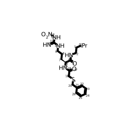 CC(C)C[CH]NC(=O)[C@H](CCCNC(=N)N[N+](=O)[O-])NC(=O)CSCc1ccccc1